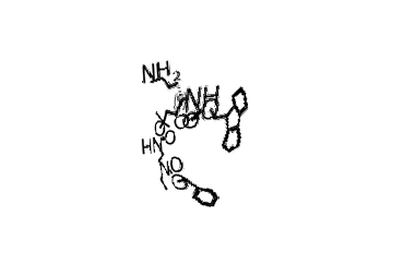 CCN(CCNC(=O)OC(C)(C)CC(=O)[C@H](CCCCN)NC(=O)OCC1c2ccccc2-c2ccccc21)C(=O)OCc1ccccc1